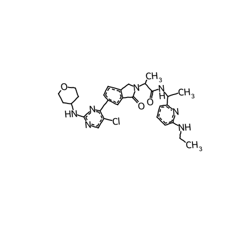 CCNc1cccc(C(C)NC(=O)C(C)N2Cc3ccc(-c4nc(NC5CCOCC5)ncc4Cl)cc3C2=O)n1